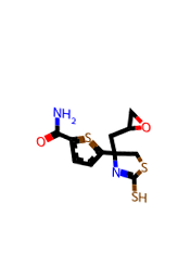 NC(=O)c1ccc(C2(CC3CO3)CSC(S)=N2)s1